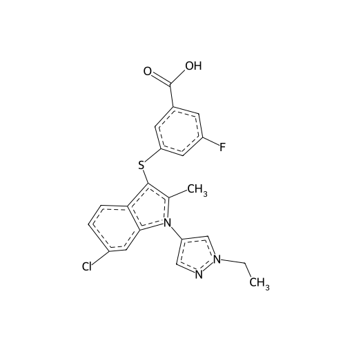 CCn1cc(-n2c(C)c(Sc3cc(F)cc(C(=O)O)c3)c3ccc(Cl)cc32)cn1